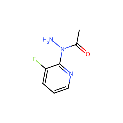 CC(=O)N(N)c1ncccc1F